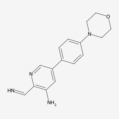 N=Cc1ncc(-c2ccc(N3CCOCC3)cc2)cc1N